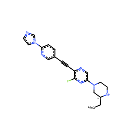 COC[C@H]1CN(c2cnc(C#Cc3ccc(-n4ccnc4)nc3)c(F)n2)CCN1